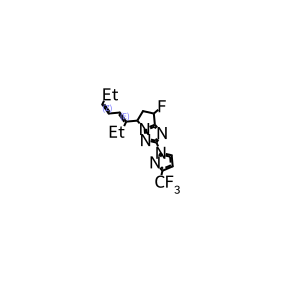 CC/C=C\C=C(/CC)C1CC(F)c2nc(-n3ccc(C(F)(F)F)n3)nn21